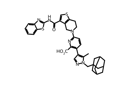 Cc1c(-c2ccc(N3CCc4scc(C(=O)Nc5nc6ccccc6s5)c4C3)nc2C(=O)O)cnn1CC12CC3CC(CC(C3)C1)C2